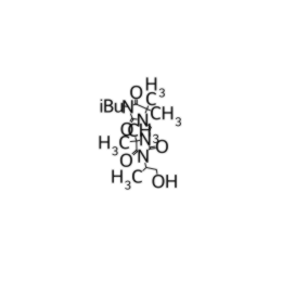 CCC(C)N1C(=O)N(CN2C(=O)N(C(C)CO)C(=O)C2(C)C)C(C)(C)C1=O